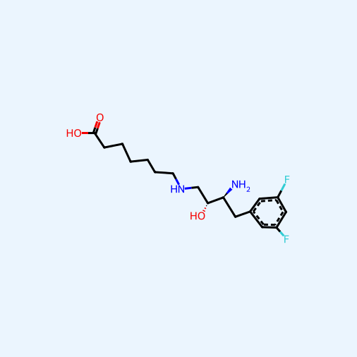 N[C@@H](Cc1cc(F)cc(F)c1)[C@H](O)CNCCCCCCC(=O)O